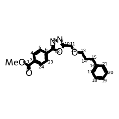 COC(=O)c1ccc(-c2nnc(COCCCc3ccccc3)o2)cc1